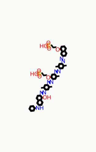 Cc1cc(N=Nc2cc(OCCCS(=O)(=O)O)c(N=Nc3cc(C)c(N=Nc4ccc5cc(Nc6ccccc6)ccc5c4O)cc3C)cc2C)c(C)cc1N=Nc1ccc2cccc(OCCCS(=O)(=O)O)c2c1